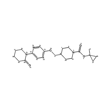 CC1(OC(=O)N2CCC(COc3cnc(N4CCCCC4=O)cn3)CC2)CC1